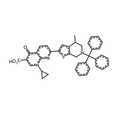 CC1CN(C(c2ccccc2)(c2ccccc2)c2ccccc2)Cc2sc(-c3ccc4c(=O)c(C(=O)O)cn(C5CC5)c4n3)cc21